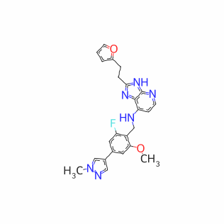 COc1cc(-c2cnn(C)c2)cc(F)c1CNc1ccnc2[nH]c(CCc3ccco3)nc12